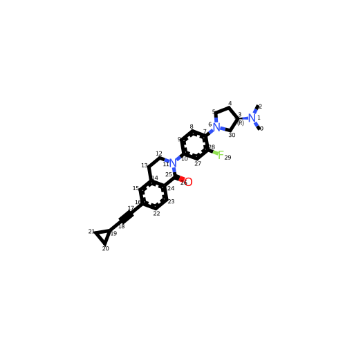 CN(C)[C@@H]1CCN(c2ccc(N3CCc4cc(C#CC5CC5)ccc4C3=O)cc2F)C1